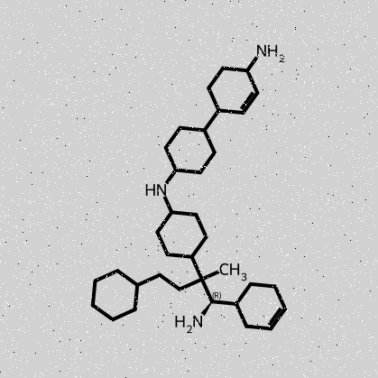 CC(CCC1CCCCC1)(C1CCC(NC2CCC(C3C=CC(N)CC3)CC2)CC1)[C@H](N)C1CC=CCC1